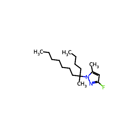 CCCCCCCC(C)(CCCC)n1nc(F)cc1C